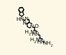 NN/C=C(\N)CN/C=C(\N)C(=O)N1CCc2nc(NC3Cc4ccccc4C3)ncc2C1